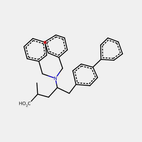 CC(CC(Cc1ccc(-c2ccccc2)cc1)N(Cc1ccccc1)Cc1ccccc1)C(=O)O